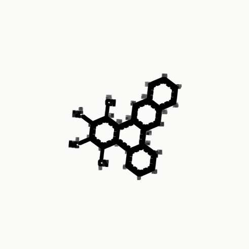 N#Cc1c(C#N)c(C#N)c2c3cccnc3c3cc4ccccc4cc3c2c1C#N